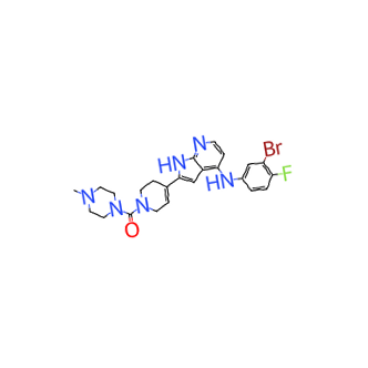 CN1CCN(C(=O)N2CC=C(c3cc4c(Nc5ccc(F)c(Br)c5)ccnc4[nH]3)CC2)CC1